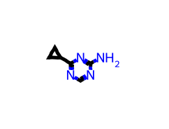 Nc1ncnc(C2CC2)n1